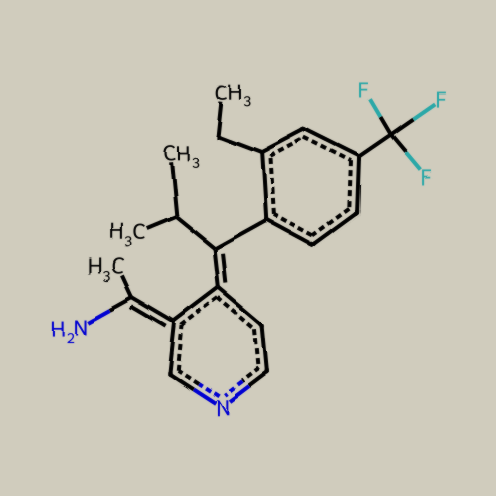 CCc1cc(C(F)(F)F)ccc1/C(=c1\ccnc\c1=C(\C)N)C(C)C